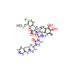 O=C(O)c1c(F)ccc2c1OB(O)[C@@H](NC(=O)[C@H](NC(=O)N1CCN(C3CCN(Cc4cccnc4)CC3)C1=O)c1cc(F)c(O)c(O)c1Cl)C2